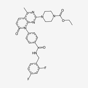 CCOC(=O)N1CCN(c2nc(C)c3ccc(=O)n(-c4ccc(C(=O)NCc5ccc(F)cc5F)cc4)c3n2)CC1